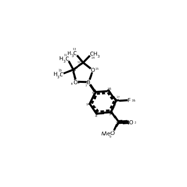 COC(=O)c1ccc(B2OC(C)(C)C(C)(C)O2)cc1F